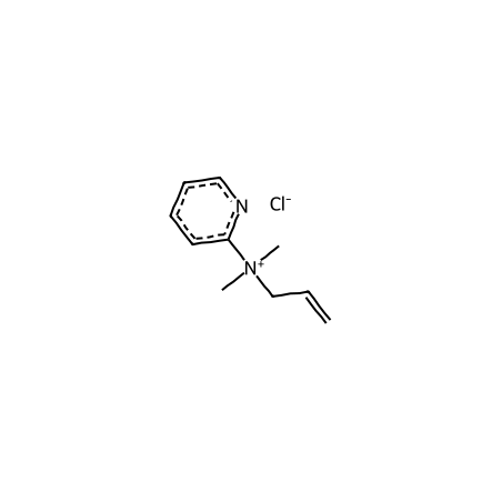 C=CC[N+](C)(C)c1ccccn1.[Cl-]